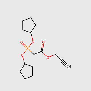 C#CCOC(=O)CP(=O)(OC1CCCC1)OC1CCCC1